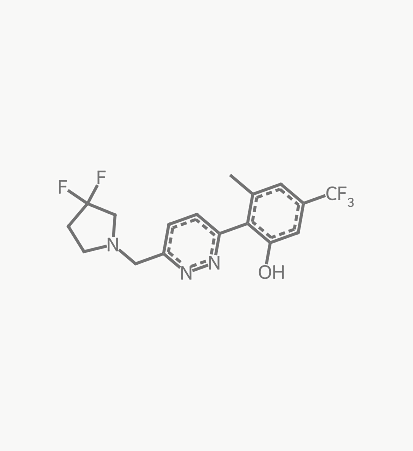 Cc1cc(C(F)(F)F)cc(O)c1-c1ccc(CN2CCC(F)(F)C2)nn1